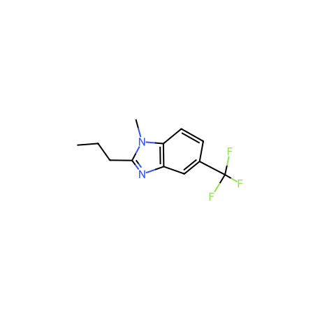 CCCc1nc2cc(C(F)(F)F)ccc2n1C